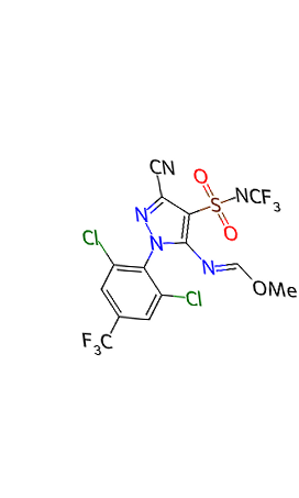 COC=Nc1c(S(=O)(=O)NC(F)(F)F)c(C#N)nn1-c1c(Cl)cc(C(F)(F)F)cc1Cl